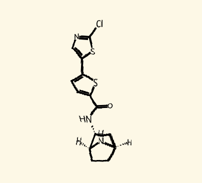 O=C(N[C@@H]1C[C@H]2CC[C@@H]1N2)c1ccc(-c2cnc(Cl)s2)s1